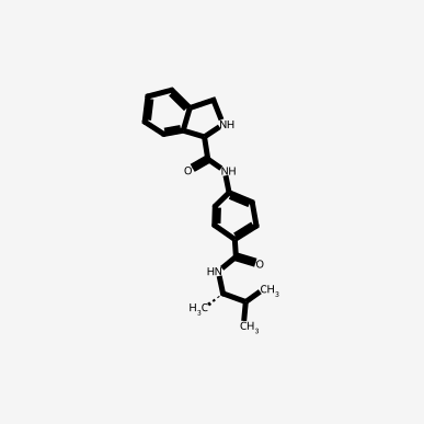 CC(C)[C@H](C)NC(=O)c1ccc(NC(=O)C2NCc3ccccc32)cc1